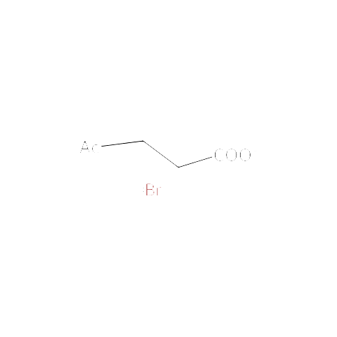 CC(=O)CCC(=O)[O-].[Br+]